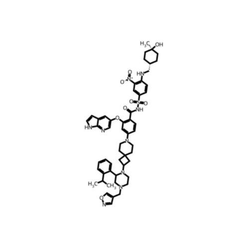 CC(C)c1ccccc1C1CN(Cc2cnoc2)CCN1C1CC2(CCN(c3ccc(C(=O)NS(=O)(=O)c4ccc(NC[C@H]5CC[C@](C)(O)CC5)c([N+](=O)[O-])c4)c(Oc4cnc5[nH]ccc5c4)c3)CC2)C1